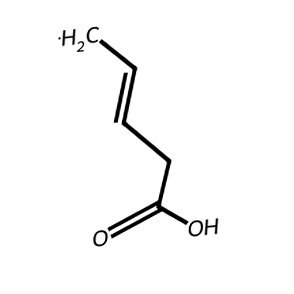 [CH2]/C=C/CC(=O)O